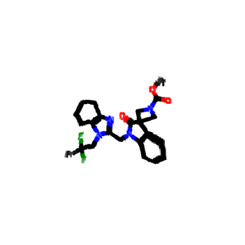 CC(C)OC(=O)N1CC2(C1)C(=O)N(Cc1nc3c(n1CC(F)(F)C(C)C)CCCC3)c1ccccc12